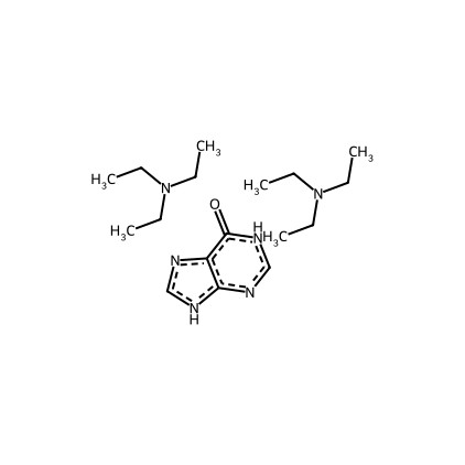 CCN(CC)CC.CCN(CC)CC.O=c1[nH]cnc2[nH]cnc12